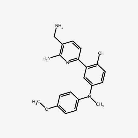 COc1ccc(N(C)c2ccc(O)c(-c3ccc(CN)c(N)n3)c2)cc1